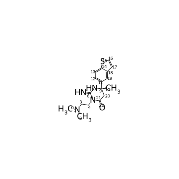 CN(C)CCN1C(=N)N[C@](C)(c2ccc3sccc3c2)CC1=O